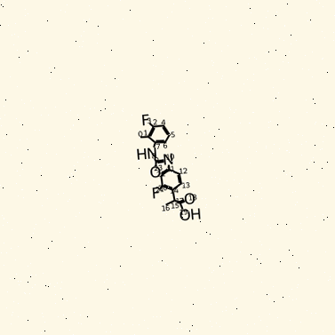 Cc1c(F)cccc1Nc1nc2ccc(C(C)C(=O)O)c(F)c2o1